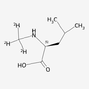 [2H]C([2H])([2H])N[C@@H](CC(C)C)C(=O)O